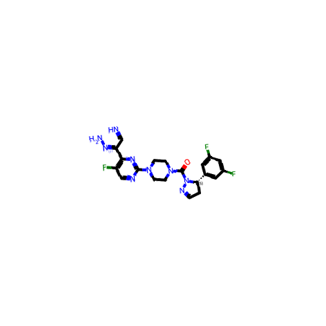 N=C/C(=N\N)c1nc(N2CCN(C(=O)N3N=CC[C@H]3c3cc(F)cc(F)c3)CC2)ncc1F